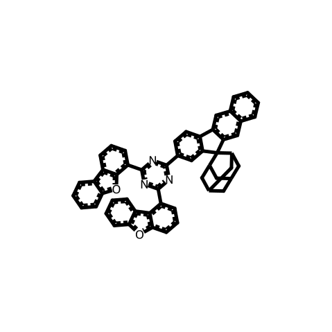 c1ccc2cc3c(cc2c1)-c1ccc(-c2nc(-c4cccc5c4oc4ccccc45)nc(-c4cccc5oc6ccccc6c45)n2)cc1C31C2CC3CC(C2)CC1C3